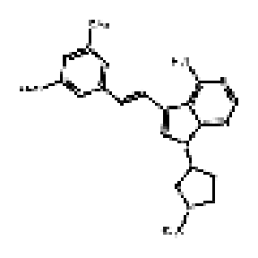 COc1cc(/C=C/c2nn([C@H]3CCN(C(=O)O)C3)c3ncnc(N)c23)cc(OC)c1